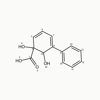 O=C(O)C1(O)C=CC=C(c2ccccc2)C1O